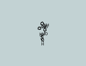 O=C(NCC(=O)N1CC2CC1CN2)c1ccc(S(=O)(=O)Nc2ccccc2Oc2ccccc2)cc1